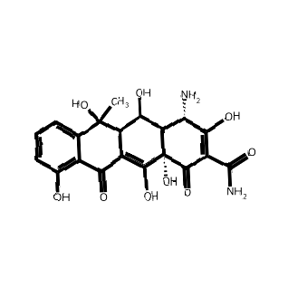 CC1(O)c2cccc(O)c2C(=O)C2=C(O)[C@]3(O)C(=O)C(C(N)=O)=C(O)[C@@H](N)C3C(O)C21